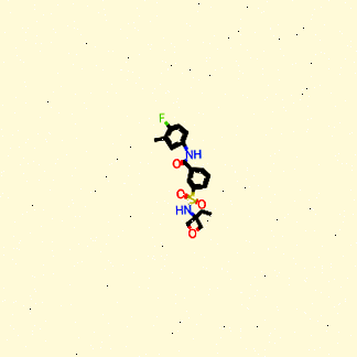 CCC1(NS(=O)(=O)c2cccc(C(=O)Nc3ccc(F)c(C)c3)c2)COC1